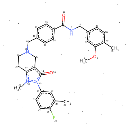 COc1cc(CNC(=O)c2ccc(CN3CCc4c(c(=O)n(-c5ccc(F)c(C)c5)n4C)C3)cc2)ccc1C